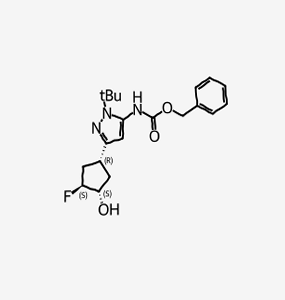 CC(C)(C)n1nc([C@@H]2C[C@H](O)[C@@H](F)C2)cc1NC(=O)OCc1ccccc1